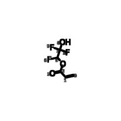 C=CC(=O)OC(F)C(O)(F)F